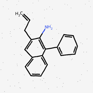 C=CCc1cc2ccccc2c(-c2ccccc2)c1N